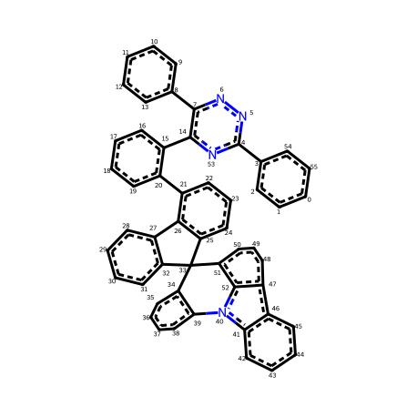 c1ccc(-c2nnc(-c3ccccc3)c(-c3ccccc3-c3cccc4c3-c3ccccc3C43c4ccccc4-n4c5ccccc5c5cccc3c54)n2)cc1